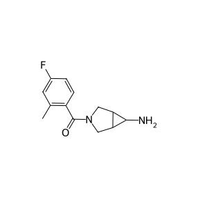 Cc1cc(F)ccc1C(=O)N1CC2C(N)C2C1